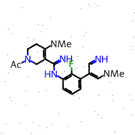 CN/C=C(\C=N)c1cccc(NC(=N)C2=C(NC)CCN(C(C)=O)C2)c1F